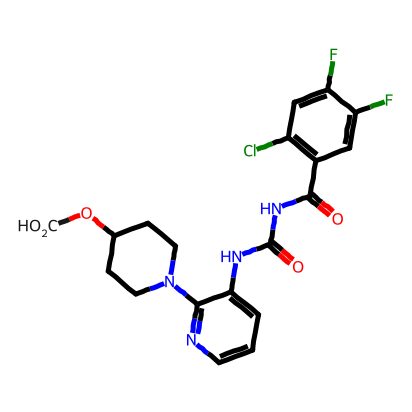 O=C(NC(=O)c1cc(F)c(F)cc1Cl)Nc1cccnc1N1CCC(OC(=O)O)CC1